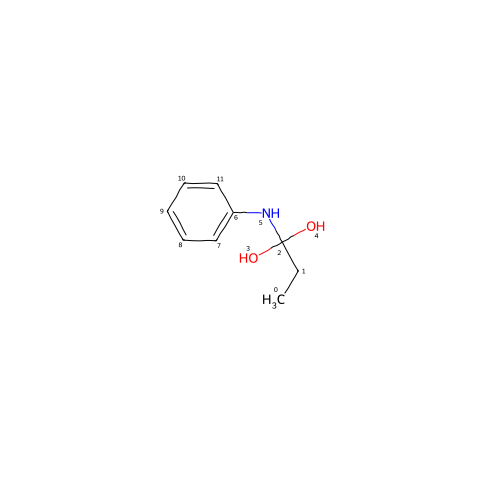 CCC(O)(O)Nc1ccccc1